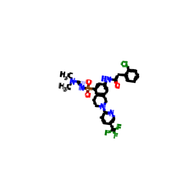 CN(C)/C=N/S(=O)(=O)c1cc(NC(=O)Cc2ccccc2Cl)cc2c1CCN(c1ccc(C(F)(F)F)cn1)C2